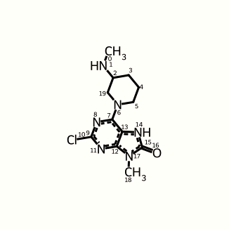 CNC1CCCN(c2nc(Cl)nc3c2[nH]c(=O)n3C)C1